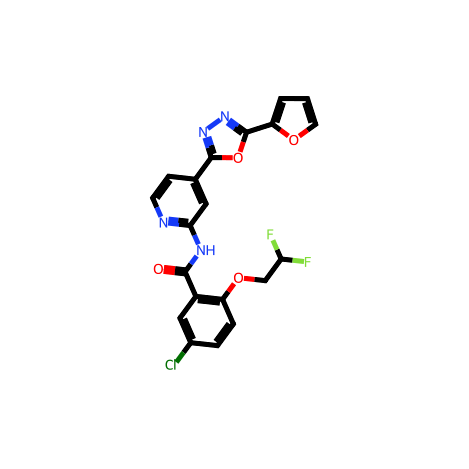 O=C(Nc1cc(-c2nnc(-c3ccco3)o2)ccn1)c1cc(Cl)ccc1OCC(F)F